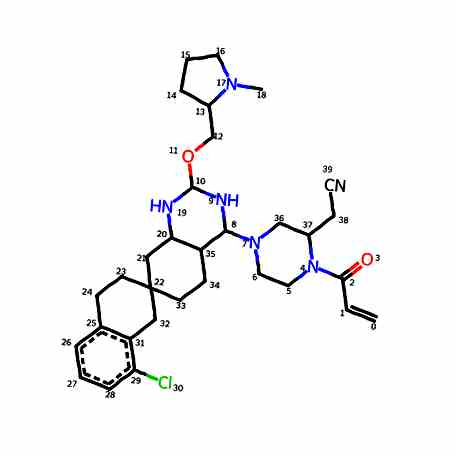 C=CC(=O)N1CCN(C2NC(OCC3CCCN3C)NC3CC4(CCc5cccc(Cl)c5C4)CCC32)CC1CC#N